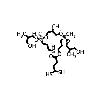 CC(CO)CO[Si](C)(CCCS)OCC(C)CO[Si](C)(CCCOC(=O)CCC(S)S)OCC(C)CO